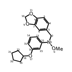 CON(Cc1ccc2c(c1)OCO2)c1cccc(OC2CCCC2)c1